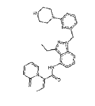 C=C1C=CC=CN1/C(=C\C)C(=O)Nc1cccc2c1c(CC)nn2Cc1cccc(N2CCNCC2)n1